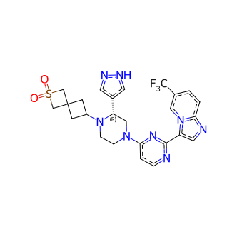 O=S1(=O)CC2(CC(N3CCN(c4ccnc(-c5cnc6ccc(C(F)(F)F)cn56)n4)C[C@H]3c3cn[nH]c3)C2)C1